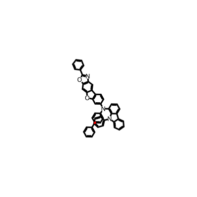 c1ccc(-c2ccc(N(c3ccc4c(c3)oc3cc5oc(-c6ccccc6)nc5cc34)c3cccc4c5ccccc5n(-c5ccccc5)c34)cc2)cc1